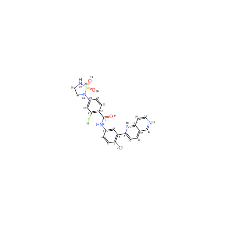 O=C(Nc1ccc(Cl)c(-c2ccc3cnccc3n2)c1)c1ccc(N2CCNS2(=O)=O)cc1F